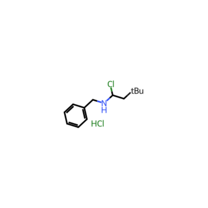 CC(C)(C)CC(Cl)NCc1ccccc1.Cl